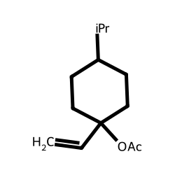 C=CC1(OC(C)=O)CCC(C(C)C)CC1